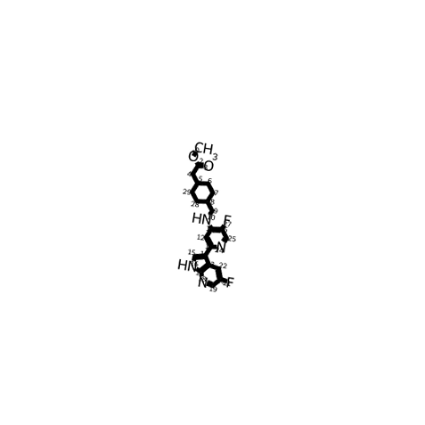 COC(=O)CC1CCC(CNc2cc(-c3c[nH]c4ncc(F)cc34)ncc2F)CC1